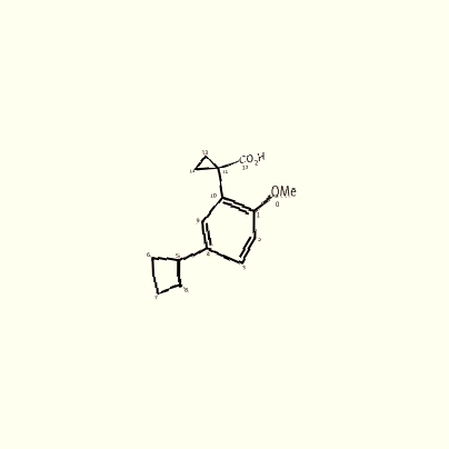 COc1ccc(C2CCC2)cc1C1(C(=O)O)CC1